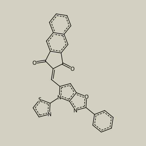 O=C1C(=Cc2cc3oc(-c4ccccc4)nc3n2-c2nccs2)C(=O)c2cc3ccccc3cc21